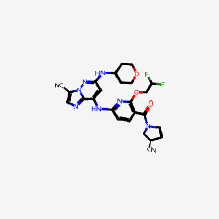 N#Cc1cnc2c(Nc3ccc(C(=O)N4CC[C@@H](C#N)C4)c(OCC(F)F)n3)cc(NC3CCOCC3)nn12